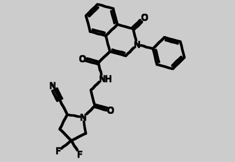 N#CC1CC(F)(F)CN1C(=O)CNC(=O)c1cn(-c2ccccc2)c(=O)c2ccccc12